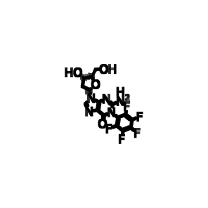 Nc1nc2c(ncn2[C@H]2C[C@H](O)[C@@H](CO)O2)c(=O)n1-c1c(F)c(F)c(F)c(F)c1F